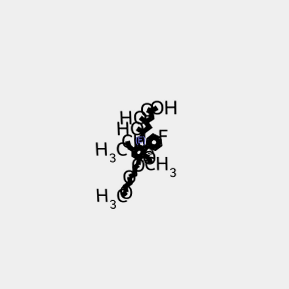 COCCOCCOc1cc(C(C)C)c(/C=C/C(O)CC(O)CC(=O)O)c(-c2ccc(F)cc2)c1OC